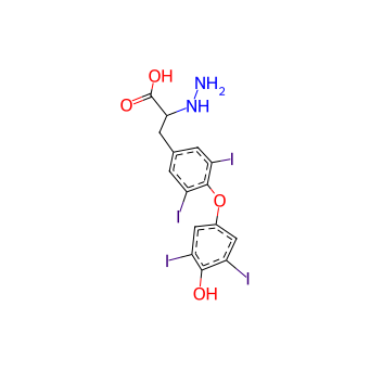 NNC(Cc1cc(I)c(Oc2cc(I)c(O)c(I)c2)c(I)c1)C(=O)O